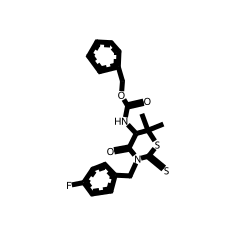 CC1(C)SC(=S)N(Cc2ccc(F)cc2)C(=O)C1NC(=O)OCc1ccccc1